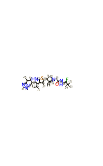 Cc1c(-c2[nH]c3sc([C@@H]4CC5C[C@H]4CN5CC(=O)NC[C@@H](F)C(C)(C)C)c(C)c3c2C(C)C)cn2ncnc2c1C